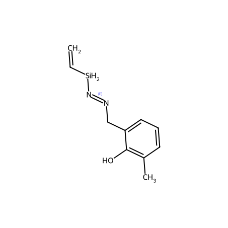 C=C[SiH2]/N=N/Cc1cccc(C)c1O